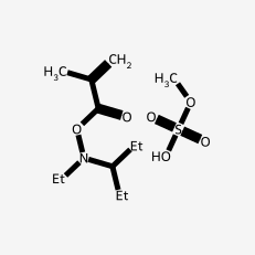 C=C(C)C(=O)ON(CC)C(CC)CC.COS(=O)(=O)O